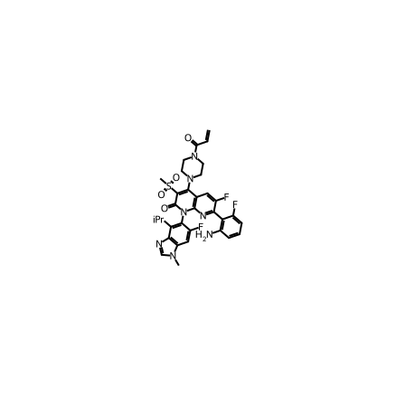 C=CC(=O)N1CCN(c2c(S(C)(=O)=O)c(=O)n(-c3c(F)cc4c(ncn4C)c3C(C)C)c3nc(-c4c(N)cccc4F)c(F)cc23)CC1